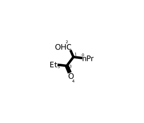 CCCC(C=O)C(=O)CC